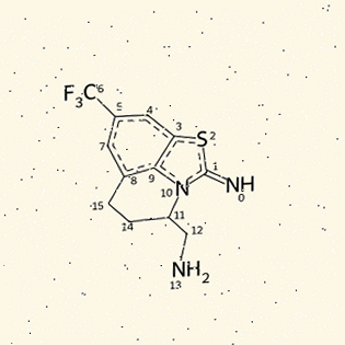 N=c1sc2cc(C(F)(F)F)cc3c2n1C(CN)CC3